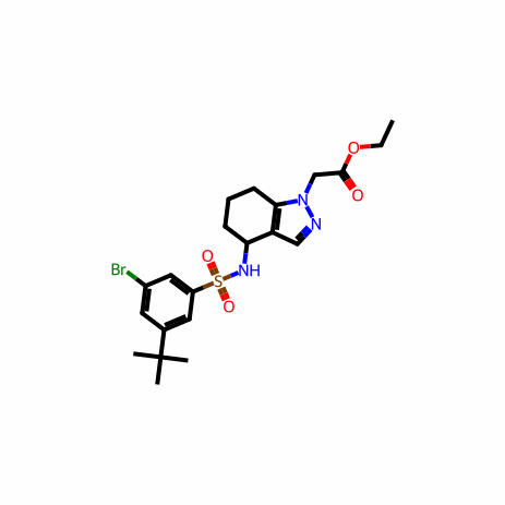 CCOC(=O)Cn1ncc2c1CCCC2NS(=O)(=O)c1cc(Br)cc(C(C)(C)C)c1